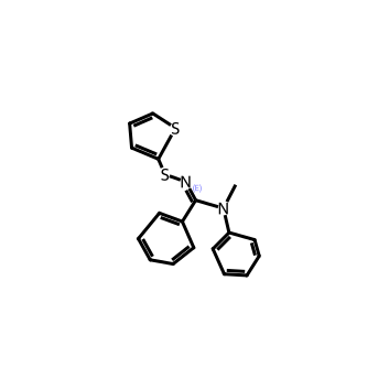 CN(/C(=N/Sc1cccs1)c1ccccc1)c1ccccc1